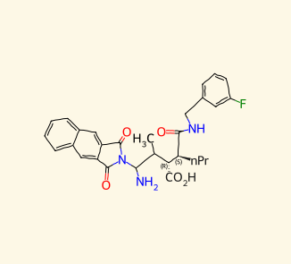 CCC[C@H](C(=O)NCc1cccc(F)c1)[C@H](C(=O)O)C(C)C(N)N1C(=O)c2cc3ccccc3cc2C1=O